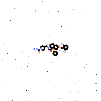 NC(=O)N1CCC(C(=O)N2CC[C@@]3(S(=O)(=O)c4ccc(F)cc4)c4ccc(OCc5c(Cl)cccc5Cl)cc4CC[C@@H]23)CC1